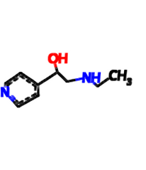 CCNCC(O)c1ccncc1